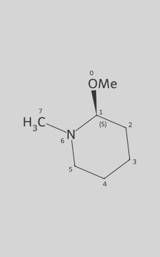 CO[C@H]1CCCCN1C